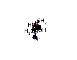 C=CCN1CC[C@]23c4c5ccc(O)c4OC2C(N(C)C(=O)/C=C/c2cccc(Br)c2)CC[C@@]3(O)[C@H]1C5